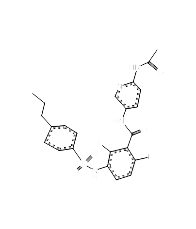 CCCc1ccc(S(=O)(=O)Nc2ccc(F)c(C(=O)Nc3ccc(NC(C)=O)nc3)c2F)cc1